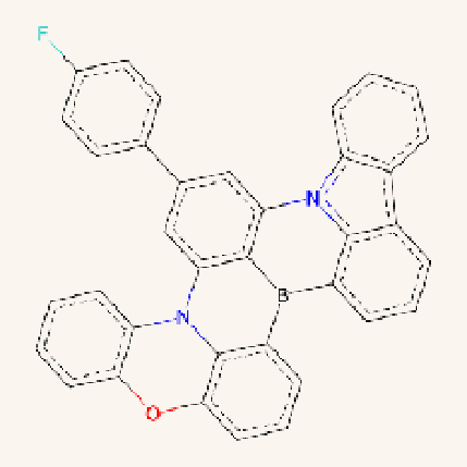 Fc1ccc(-c2cc3c4c(c2)-n2c5ccccc5c5cccc(c52)B4c2cccc4c2N3c2ccccc2O4)cc1